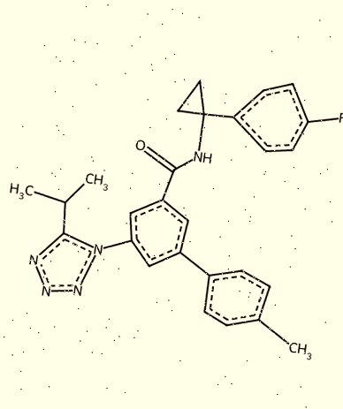 Cc1ccc(-c2cc(C(=O)NC3(c4ccc(F)cc4)CC3)cc(-n3nnnc3C(C)C)c2)cc1